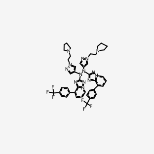 FC(F)(F)c1ccc(-c2cccn3nc(N(c4cnn(CCN5CCCC5)c4)N(c4cnn(CCN5CCCC5)c4)c4nc5c(-c6ccc(C(F)(F)F)cc6)cccn5n4)nc23)cc1